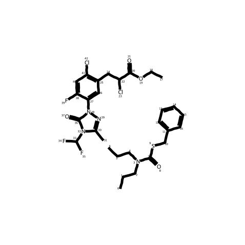 CCCN(CCC)C(=O)SCc1ccccc1.CCOC(=O)C(Cl)Cc1cc(-n2nc(C)n(C(F)F)c2=O)c(F)cc1Cl